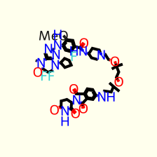 COc1cc(C(=O)NC2CCN(CCOC(C)(C)CCOC(C)(C)CCNc3ccc4c(c3)C(=O)N(C3CCC(=O)NC3=O)C4=O)CC2)c(F)cc1Nc1ncc2c(n1)N(C1CCCC1)CC(F)(F)C(=O)N2C